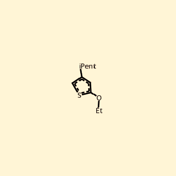 CCCC(C)c1csc(OCC)c1